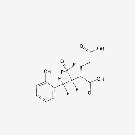 O=C(O)CC[C@@H](C(=O)O)C(F)(C(F)(F)c1ccccc1O)P(=O)(F)F